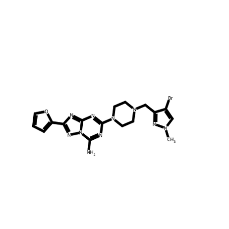 Cn1cc(Br)c(CN2CCN(c3nc(N)n4nc(-c5ccco5)nc4n3)CC2)n1